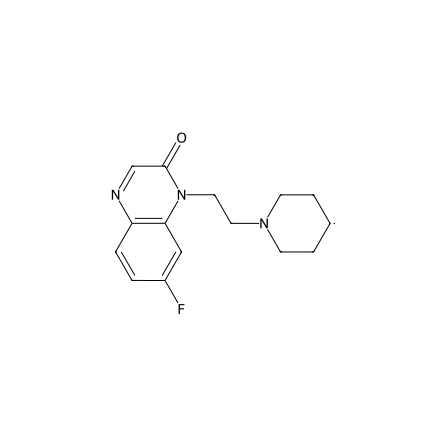 O=c1cnc2ccc(F)cc2n1CCN1CC[CH]CC1